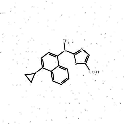 CN(c1ncc(C(=O)O)s1)c1ccc(C2CC2)c2ccccc12